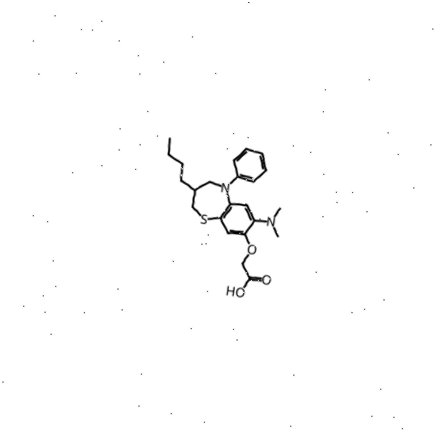 CCCCC1CSc2cc(OCC(=O)O)c(N(C)C)cc2N(c2ccccc2)C1